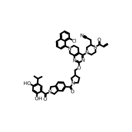 C=CC(=O)N1CCN(c2nc(OCC3CCN(C(=O)c4ccc5c(c4)CN(C(=O)c4cc(C(C)C)c(O)cc4O)C5)C3)nc3c2CCN(c2cccc4cccc(Cl)c24)C3)CC1CC#N